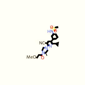 C=CS(=O)(=O)Nc1cccc(-c2cc(C#N)c(N3CCN(C(=O)CCOC)[C@H](C)C3)nc2C2CC2)c1